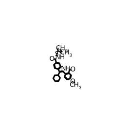 COc1ccc(-c2[nH]c3cc(C(=O)NSN(C)C)ccc3c2C2CCCCC2)c(C=O)c1